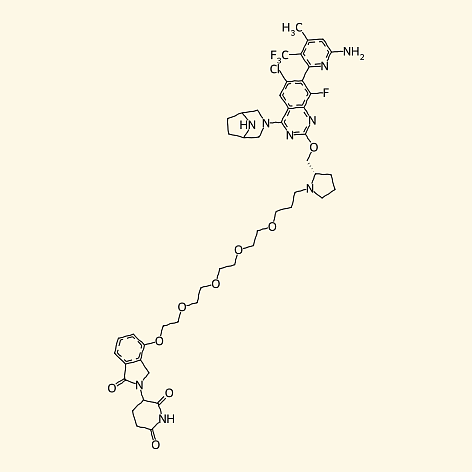 Cc1cc(N)nc(-c2c(Cl)cc3c(N4CC5CCC(C4)N5)nc(OC[C@@H]4CCCN4CCCOCCOCCOCCOCCOc4cccc5c4CN(C4CCC(=O)NC4=O)C5=O)nc3c2F)c1C(F)(F)F